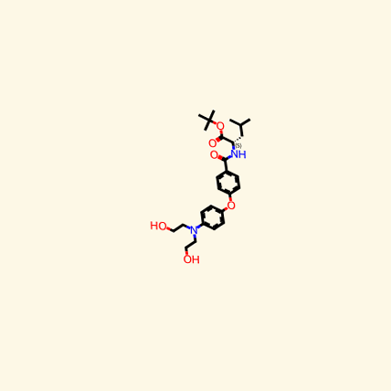 CC(C)C[C@H](NC(=O)c1ccc(Oc2ccc(N(CCO)CCO)cc2)cc1)C(=O)OC(C)(C)C